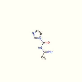 CC(=N)NC(=O)n1ccnc1